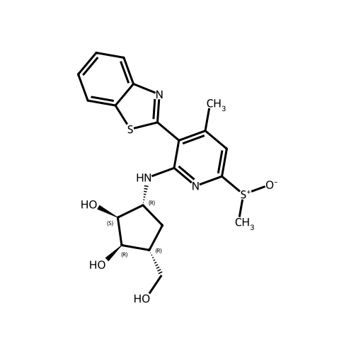 Cc1cc([S+](C)[O-])nc(N[C@@H]2C[C@H](CO)[C@@H](O)[C@H]2O)c1-c1nc2ccccc2s1